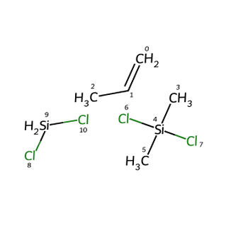 C=CC.C[Si](C)(Cl)Cl.Cl[SiH2]Cl